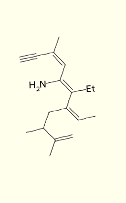 C#C\C(C)=C/C(N)=C(CC)/C(=C\C)CC(C)C(=C)C